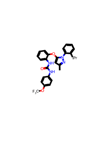 Cc1cc(Oc2ccccc2NC(=O)Nc2ccc(OC(F)(F)F)cc2)n(-c2ccccc2C(C)C)n1